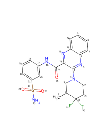 CC1CN(c2nc3ccccc3nc2C(=O)Nc2cccc(S(N)(=O)=O)c2)CCC1(F)F